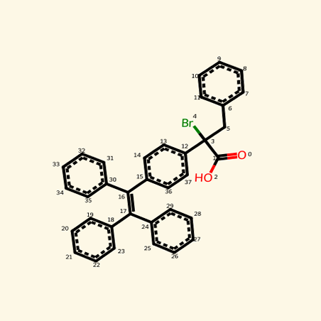 O=C(O)C(Br)(Cc1ccccc1)c1ccc(C(=C(c2ccccc2)c2ccccc2)c2ccccc2)cc1